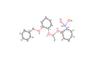 CC(Oc1ccccc1OCc1ccccc1)Oc1ccccc1[N+](=O)[O-]